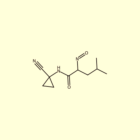 CC(C)CC(N=O)C(=O)NC1(C#N)CC1